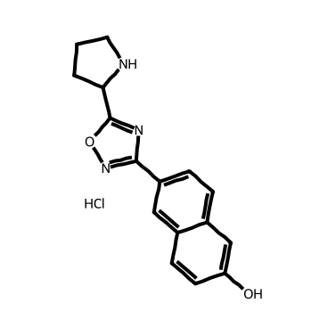 Cl.Oc1ccc2cc(-c3noc(C4CCCN4)n3)ccc2c1